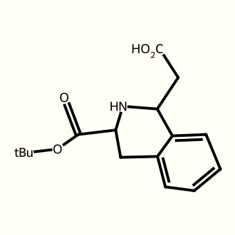 CC(C)(C)OC(=O)C1Cc2ccccc2C(CC(=O)O)N1